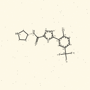 O=C(N[C@@H]1CCNC1)c1nnc(-c2cc(C(F)(F)F)ccc2Cl)o1